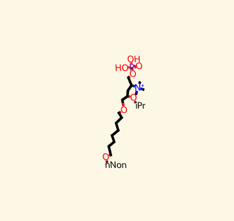 CCCCCCCCCOCCCCCCCCOCC(CC(COP(=O)(O)O)[N+](C)(C)C)OC(C)C